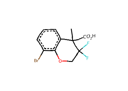 CC1(C(=O)O)c2cccc(Br)c2OCC1(F)F